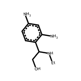 CCNC(CO)c1ccc(N)cc1N